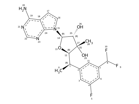 C[C@H](c1cc(F)cc(C(F)F)c1)[C@H]1O[C@@H](n2ccc3c(N)ncnc32)[C@H](O)[C@]1(C)O